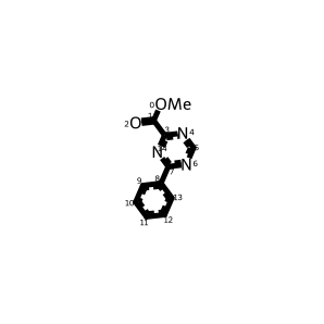 COC(=O)c1n[c]nc(-c2ccccc2)n1